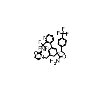 CC(c1ccc(C(F)(F)F)cc1)[C@@]1(C(N)=O)C=C(c2cccnc2C(F)(F)F)C=C(Cn2ccoc2=N)C1